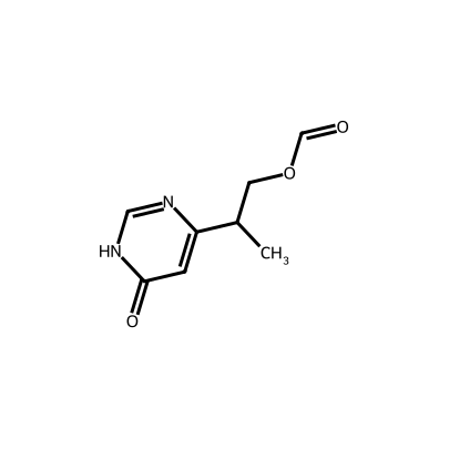 CC(COC=O)c1cc(=O)[nH]cn1